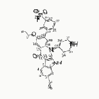 C#Cc1ccc2c(c1)[nH]c1c2c(=O)c2cc(OCC)c(-c3cccc(S(=O)(=O)F)c3)cc2n1C1CCNCC1